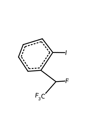 FC(c1ccccc1I)C(F)(F)F